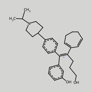 CC(C)N1CCC(c2ccc(/C(=C(/CCCO)C3=CCCCC=C3)c3cccc(O)c3)cc2)CC1